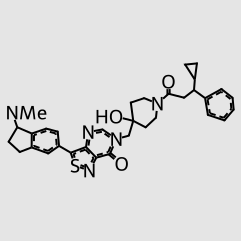 CNC1CCc2cc(-c3snc4c(=O)n(CC5(O)CCN(C(=O)CC(c6ccccc6)C6CC6)CC5)cnc34)ccc21